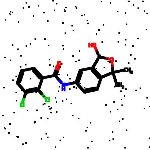 CC1(C)OB(O)c2cc(NC(=O)c3cccc(Cl)c3Cl)ccc21